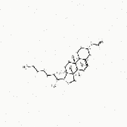 CCCCCC[C@@H](C)[C@H]1CC[C@H]2[C@@H]3CC=C4C[C@@H](ON=O)CC[C@]4(C)[C@H]3CC[C@]12C